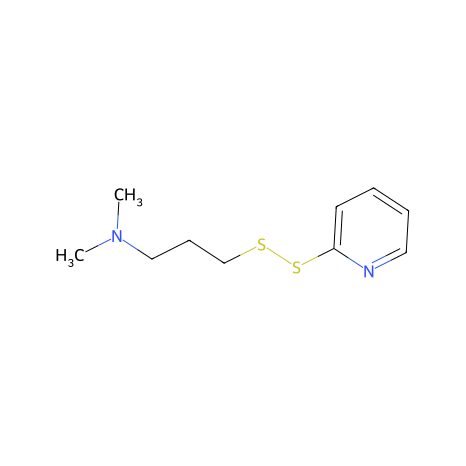 CN(C)CCCSSc1ccccn1